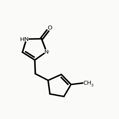 CC1=CC(CC2=CNC(=O)[N]2)CC1